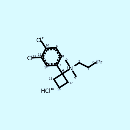 CC(C)CC[N+](C)(C)C1(c2ccc(Cl)c(Cl)c2)CCC1.Cl